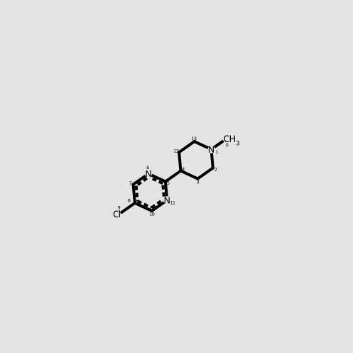 CN1CCC(c2ncc(Cl)cn2)CC1